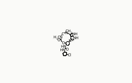 CN1CCCN(C)C(=O)COC2=C(NC(=O)Nc3cccc(Cl)c3)C=CC(C2)/N=C2\N=CNc3[nH]cc(c32)C1